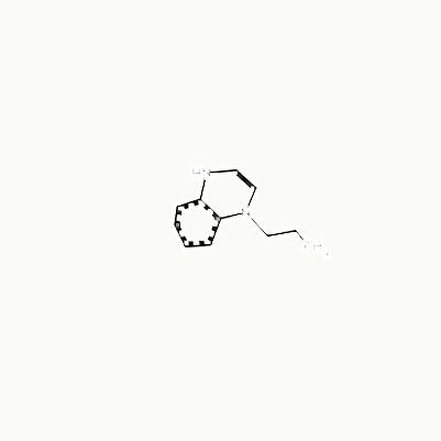 CCCN1C=CNc2ccccc21